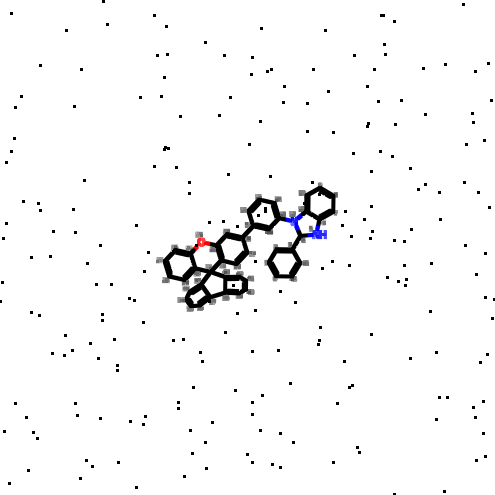 c1ccc(C2Nc3ccccc3N2c2cccc(-c3ccc4c(c3)Oc3ccccc3C43c4ccccc4-c4ccccc43)c2)cc1